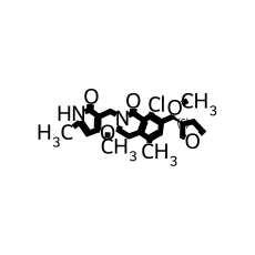 COc1cc(C)[nH]c(=O)c1CN1CCc2c(C)cc(C(OC)[C@H]3CCOC3)c(Cl)c2C1=O